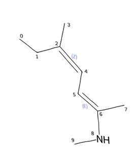 CC/C(C)=C\C=C(/C)NC